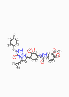 Cc1ccc(CNC(=O)n2nc(-c3ccc(NC(=O)c4ccc5c(c4)OCO5)cc3O)cc2C2CC2)cc1